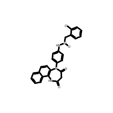 O=C1CC(=O)N(c2ccc(N[S+]([O-])Cc3ccccc3Cl)cc2)c2ccc3ccccc3c2N1